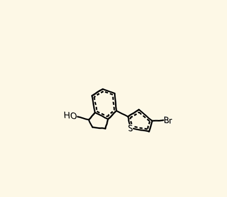 OC1CCc2c(-c3cc(Br)cs3)cccc21